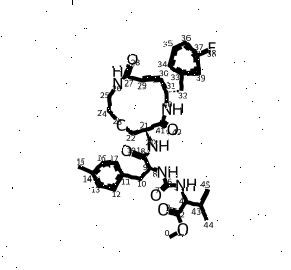 COC(=O)C(NC(=O)NC(Cc1ccc(C)cc1)C(=O)N[C@H]1CCCCNC(=O)/C=C/[C@H](Cc2cccc(F)c2)NC1=O)C(C)C